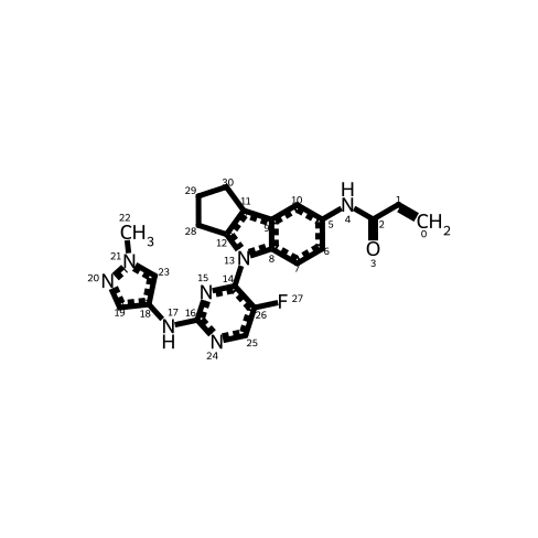 C=CC(=O)Nc1ccc2c(c1)c1c(n2-c2nc(Nc3cnn(C)c3)ncc2F)CCC1